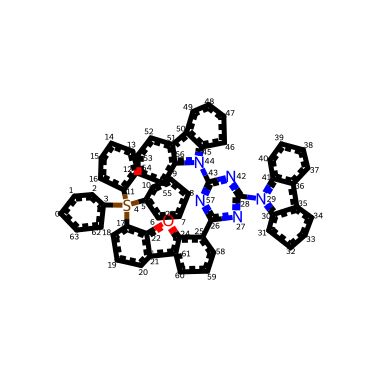 c1ccc(S(c2ccccc2)(c2ccccc2)c2cccc3c2oc2c(-c4nc(-n5c6ccccc6c6ccccc65)nc(-n5c6ccccc6c6ccccc65)n4)cccc23)cc1